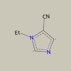 CCn1[c]n[c]c1C#N